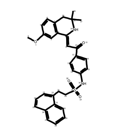 COc1ccc2c(c1)C(=CC(=O)c1ccc(NS(=O)(=O)CCc3cccc4ccccc34)cc1)NC(C)(C)C2